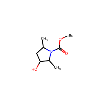 CC1CC(O)C(C)N1C(=O)OC(C)(C)C